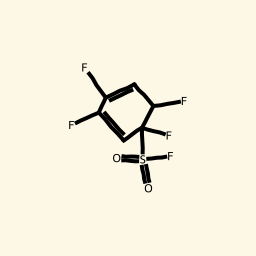 O=S(=O)(F)C1(F)C=C(F)C(F)=CC1F